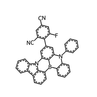 N#Cc1cc(F)c(-c2cc3c4c(c2)-n2c5ccccc5c5cccc(c52)B4c2ccccc2N3c2ccccc2)c(C#N)c1